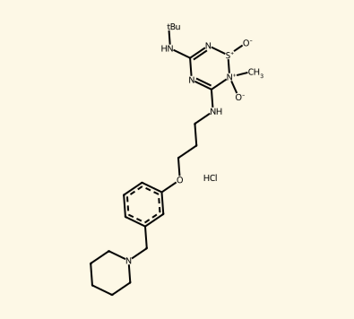 CC(C)(C)NC1=N[S+]([O-])[N+](C)([O-])C(NCCCOc2cccc(CN3CCCCC3)c2)=N1.Cl